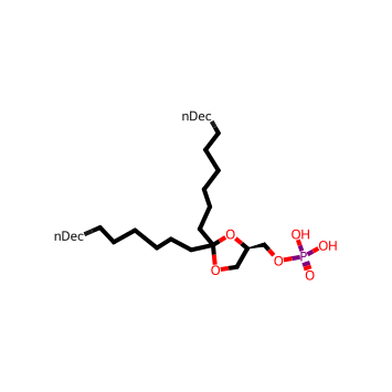 CCCCCCCCCCCCCCCCC1(CCCCCCCCCCCCCCCC)OC[C@H](COP(=O)(O)O)O1